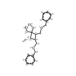 CCOC1(OCC)C(COCc2ccccc2)C(COCc2ccccc2)[C@@H]1F